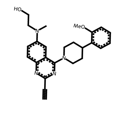 C#Cc1nc(N2CCC(c3ccccc3OC)CC2)c2cc(N(C)CCO)ccc2n1